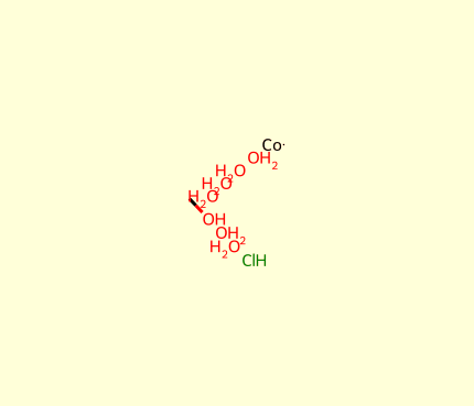 CO.Cl.O.O.O.O.O.O.[Co]